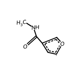 CNC(=O)c1c[c]oc1